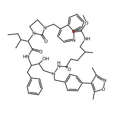 CCC(C)C(C(=O)NC(Cc1ccccc1)C(O)CN(Cc1ccc(-c2c(C)noc2C)cc1)NC(=O)CCC(C)CNC(=O)OC)N1CCN(Cc2ccnc3ccccc23)C1=O